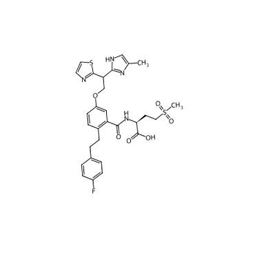 Cc1c[nH]c(C(COc2ccc(CCc3ccc(F)cc3)c(C(=O)N[C@@H](CCS(C)(=O)=O)C(=O)O)c2)c2nccs2)n1